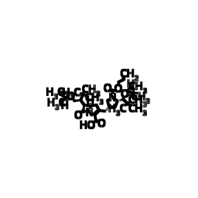 C=CCOC(=O)N1C[C@@H](CC2=C(C(=O)O)N3C(=O)[C@@H]([C@@H](CO[SiH](C)C)C(C)(C)C)[C@H]3C2)C[C@H]1C(O[SiH](C)C)C(C)(C)C